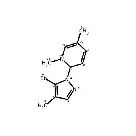 CCc1c(C)cnn1C1C=CC(C)=CN1C